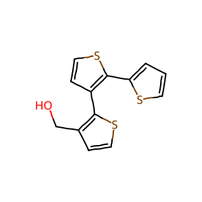 OCc1ccsc1-c1ccsc1-c1cccs1